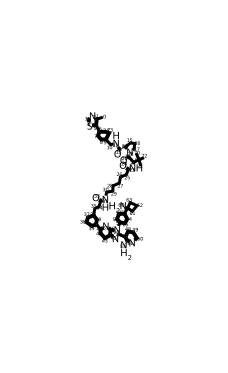 Cc1ncsc1-c1ccc(CNC(=O)[C@@H]2CCCN2C(=O)C(NC(=O)CCCCCCNC(=O)CCc2cccc(-c3ccc4nc(-c5cccnc5N)n(-c5ccc(C6(N)CCC6)cc5)c4n3)c2)C(C)(C)C)cc1